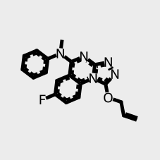 C=CCOc1nnc2nc(N(C)c3ccccc3)c3cc(F)ccc3n12